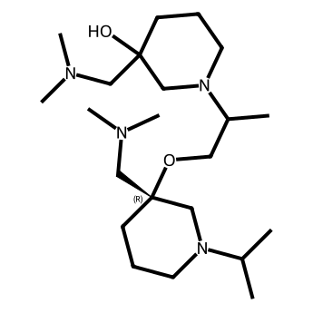 CC(C)N1CCC[C@](CN(C)C)(OCC(C)N2CCCC(O)(CN(C)C)C2)C1